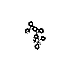 CC1(C)c2ccc(-n3c4ccccc4c4cc5c6ccccc6n(-c6ccccc6)c5cc43)cc2N(c2ccccc2)c2nc3ccccc3n21